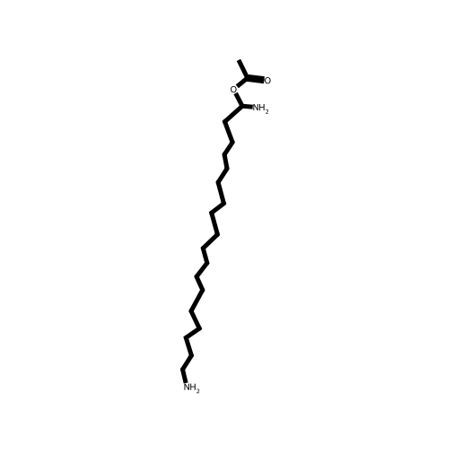 CC(=O)OC(N)CCCCCCCCCCCCCCCCCN